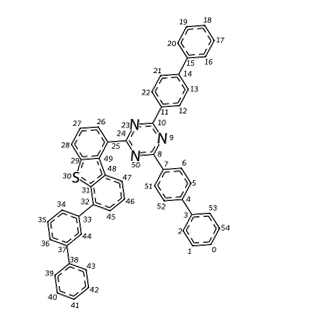 c1ccc(-c2ccc(-c3nc(-c4ccc(-c5ccccc5)cc4)nc(-c4cccc5sc6c(-c7cccc(-c8ccccc8)c7)cccc6c45)n3)cc2)cc1